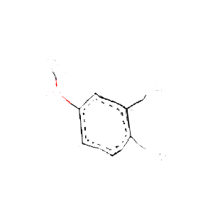 COc1ccc(OC(F)(F)F)cc1OC(C)=O